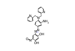 Nc1cc(/N=N/c2cc(N=O)c(O)cc2O)ccc1N(Cc1ccccn1)Cc1ccccn1